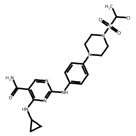 CC(Cl)S(=O)(=O)N1CCN(c2ccc(Nc3ncc(C(N)=O)c(NC4CC4)n3)cc2)CC1